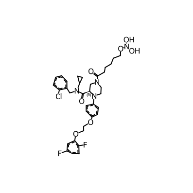 O=C(CCCCCON(O)O)N1CCN(c2ccc(OCCOc3cc(F)ccc3F)cc2)[C@@H](C(=O)N(Cc2ccccc2Cl)C2CC2)C1